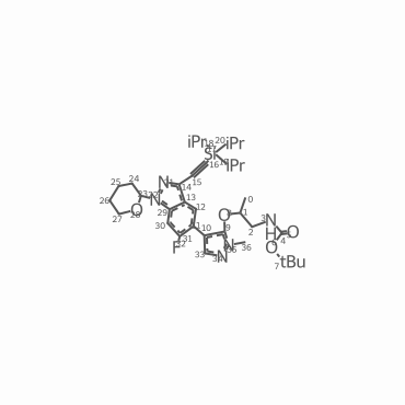 CC(CNC(=O)OC(C)(C)C)Oc1c(-c2cc3c(C#C[Si](C(C)C)(C(C)C)C(C)C)nn(C4CCCCO4)c3cc2F)cnn1C